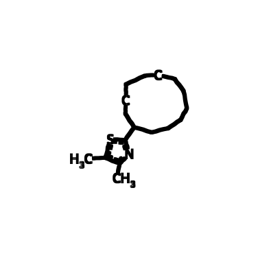 Cc1nc(C2CCCCCCCCCCC2)sc1C